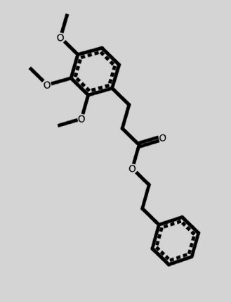 COc1ccc(CCC(=O)OCCc2ccccc2)c(OC)c1OC